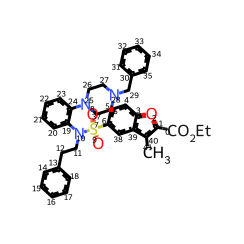 CCOC(=O)c1oc2ccc(S(=O)(=O)N(CCc3ccccc3)c3ccccc3N3CCN(Cc4ccccc4)CC3)cc2c1C